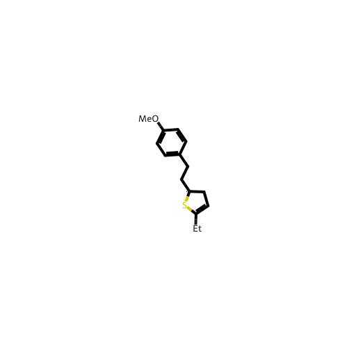 CCC1=CC[C](CCc2ccc(OC)cc2)S1